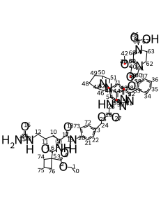 CCOC(=O)C1(C(=O)N[C@@H](CCCNC(N)=O)C(=O)Nc2ccc(COC(=O)Nc3nnc(-c4ccccc4OCOC)cc3N3CC4CCC(C3)N4c3ccnc(OCCN4CCN(C(=O)O)C[C@H]4C)c3)cc2)CCC1